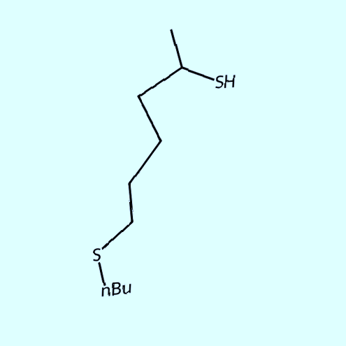 CCCCSCCCCC(C)S